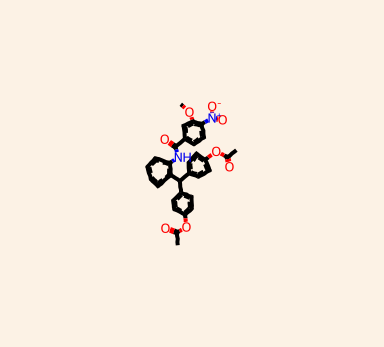 COc1cc(C(=O)Nc2ccccc2C(c2ccc(OC(C)=O)cc2)c2ccc(OC(C)=O)cc2)ccc1[N+](=O)[O-]